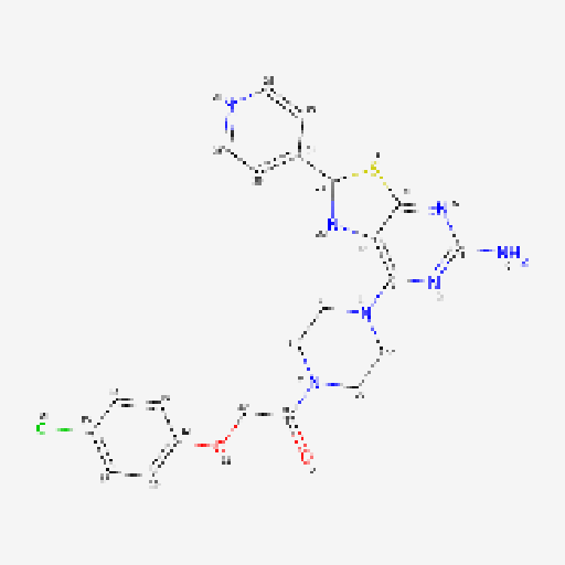 Nc1nc(N2CCN(C(=O)COc3ccc(Cl)cc3)CC2)c2nc(-c3ccncc3)sc2n1